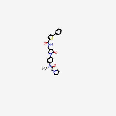 CN(C(=O)CN1CCCC1)c1ccc(N2CC(CNC(=O)c3ccc(-c4ccccc4)s3)CC2=O)cc1